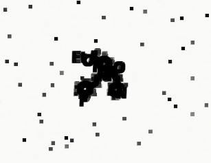 C=C(OCC)c1ccc(C(=O)NCc2cccnc2)c(NCCc2cccc(F)c2)n1